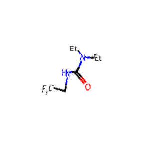 CCN(CC)C(=O)NCC(F)(F)F